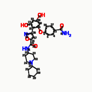 NC(=O)c1ccc(Oc2cc(O)cc(O)c2-c2cc(C(=O)NC3CCN(C4CCCCC4)CC3)on2)cc1